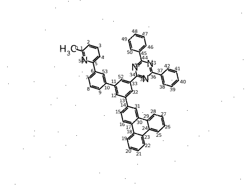 Cc1cccc(-c2cccc(-c3cc(-c4ccc5c6ccccc6c6ccccc6c5c4)cc(-c4nc(-c5ccccc5)nc(-c5ccccc5)n4)c3)c2)n1